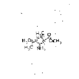 COC(=O)c1cc(N)c(C(C)C)cc1C